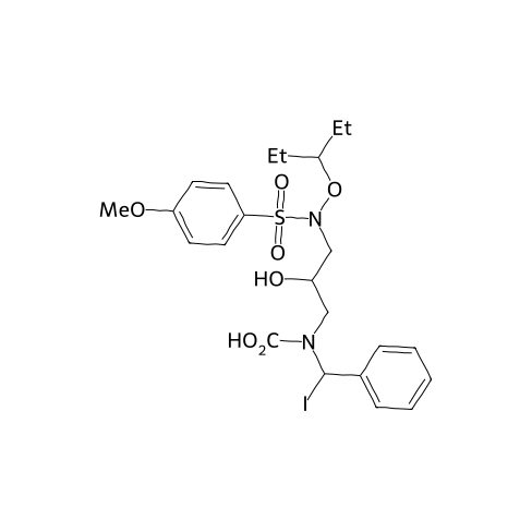 CCC(CC)ON(CC(O)CN(C(=O)O)C(I)c1ccccc1)S(=O)(=O)c1ccc(OC)cc1